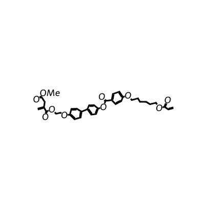 C=CC(=O)OCCCCCCOc1ccc(C(=O)Oc2ccc(-c3ccc(OCCOC(=O)C(=C)CC(=O)OC)cc3)cc2)cc1